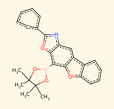 CC1(C)OB(c2c3oc(-c4ccccc4)nc3cc3c2oc2ccccc23)OC1(C)C